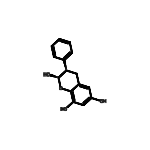 Oc1cc(O)c2c(c1)C[C@H](c1ccccc1)[C@H](O)O2